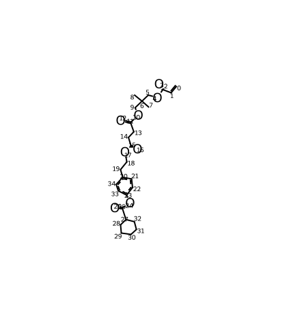 C=CC(=O)OCC(C)(C)COC(=O)CCC(=O)OCCc1ccc(OC(=O)C2CCCCC2)cc1